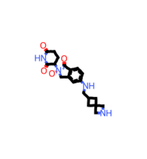 O=C1CCC([N+]2([O-])Cc3cc(NCC4CC5(CNC5)C4)ccc3C2=O)C(=O)N1